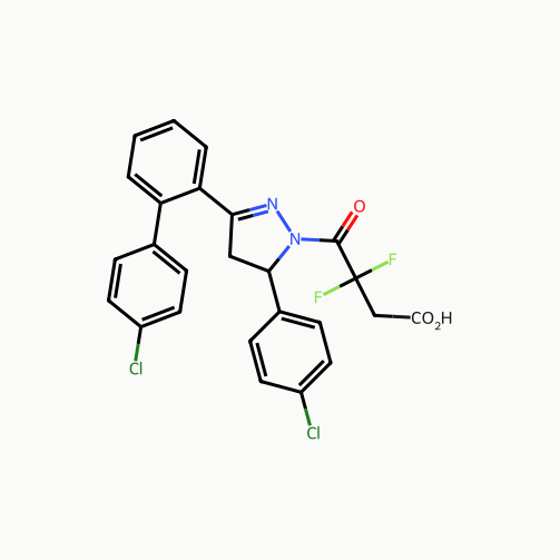 O=C(O)CC(F)(F)C(=O)N1N=C(c2ccccc2-c2ccc(Cl)cc2)CC1c1ccc(Cl)cc1